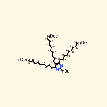 [CH2]CCCc1nc(CCCCCCCCCCCCCCCCCCC)c(CCCCCCCCCCCCCCCCCCC)c(CCCCCCCCCCCCCCCCCCC)n1